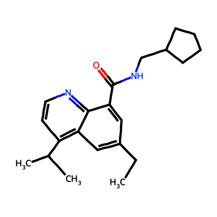 CCc1cc(C(=O)NCC2CCCC2)c2nccc(C(C)C)c2c1